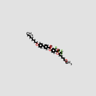 CCCCCCCCCOc1ccc(-c2ccc(C(=O)Oc3ccc(C(=O)OC(CCCCCOC)C(F)(F)F)c(F)c3)cc2)cc1